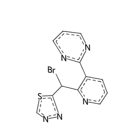 BrC(c1nncs1)c1ncccc1-c1ncccn1